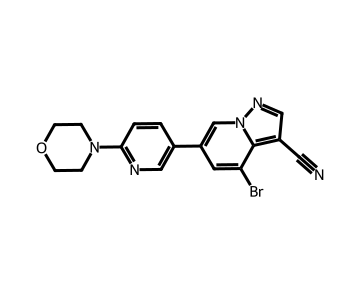 N#Cc1cnn2cc(-c3ccc(N4CCOCC4)nc3)cc(Br)c12